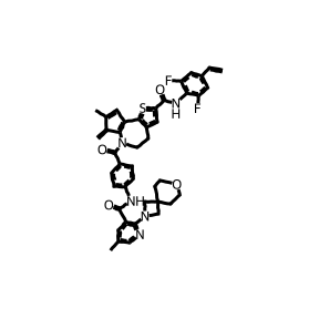 C=Cc1cc(F)c(NC(=O)c2cc3c(s2)C2=C(C(=C)C(C)=C2)N(C(=O)c2ccc(NC(=O)c4cc(C)cnc4N4CC5(CCOCC5)C4)cc2)CC3)c(F)c1